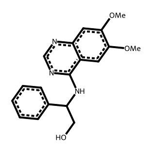 COc1cc2ncnc(NC(CO)c3ccccc3)c2cc1OC